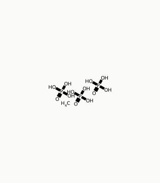 C.O=P(O)(O)O.O=P(O)(O)O.O=P(O)(O)O